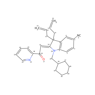 [C-]#[N+]c1ccc2c(c1)C(CC=C)(CC=C)/C(=C/C(=O)c1ccccn1)N2CC1CCCCC1